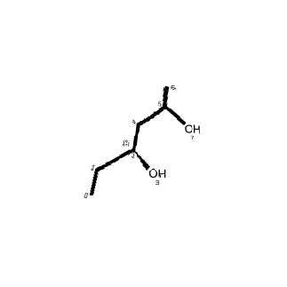 CC[C@H](O)CC(C)O